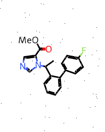 COC(=O)c1cncn1C(C)c1ccccc1-c1ccc(F)cc1